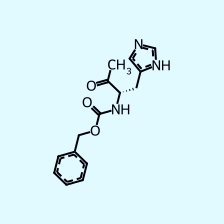 CC(=O)[C@H](Cc1cnc[nH]1)NC(=O)OCc1ccccc1